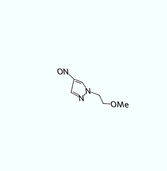 COCCn1cc(N=O)cn1